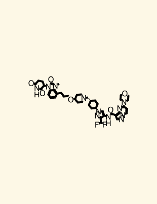 Cn1c(=O)n(C2CCC(=O)NC2=O)c2cccc(CCCOC3CCN(C[C@H]4CC[C@H](n5cc(NC(=O)c6cnn7ccc(N8CCOCC8)nc67)c(C(F)F)n5)CC4)CC3)c21